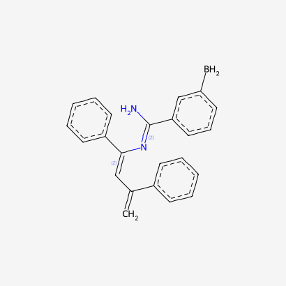 Bc1cccc(/C(N)=N/C(=C\C(=C)c2ccccc2)c2ccccc2)c1